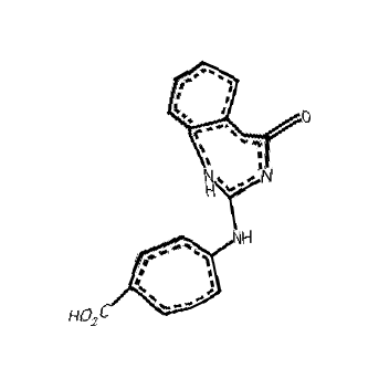 O=C(O)c1ccc(Nc2nc(=O)c3ccccc3[nH]2)cc1